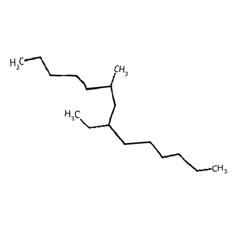 CCCCCCC(CC)C[C](C)CCCCC